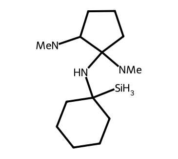 CNC1CCCC1(NC)NC1([SiH3])CCCCC1